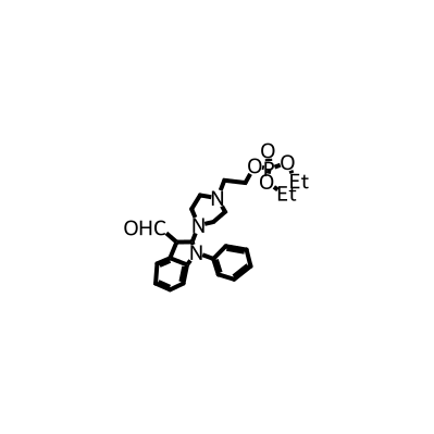 CCOP(=O)(OCC)OCCN1CCN(C2C(C=O)c3ccccc3N2c2ccccc2)CC1